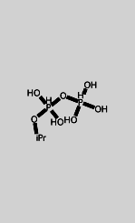 CC(C)O[PH](O)(O)O[PH](O)(O)O